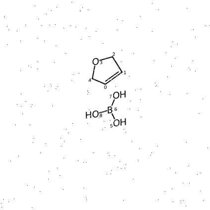 C1=CCOC1.OB(O)O